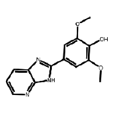 COc1cc(-c2nc3cccnc3[nH]2)cc(OC)c1O